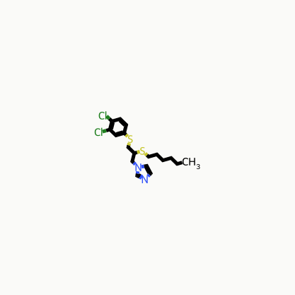 CCCCCCSC(CSc1ccc(Cl)c(Cl)c1)Cn1ccnc1